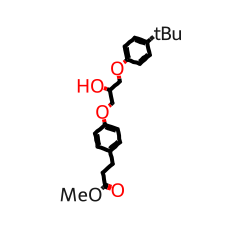 COC(=O)CCc1ccc(OCC(O)COc2ccc(C(C)(C)C)cc2)cc1